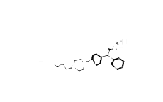 CCCCN1CCN(c2ccc(C(C(=O)NO)c3ccccc3)cc2)CC1